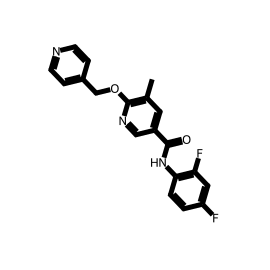 Cc1cc(C(=O)Nc2ccc(F)cc2F)cnc1OCc1ccncc1